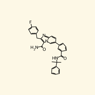 CC(C)(NC(=O)c1cccc(-c2ccc3nc(Cc4ccc(F)cc4)c(C(N)=O)n3c2)c1)c1ccccc1